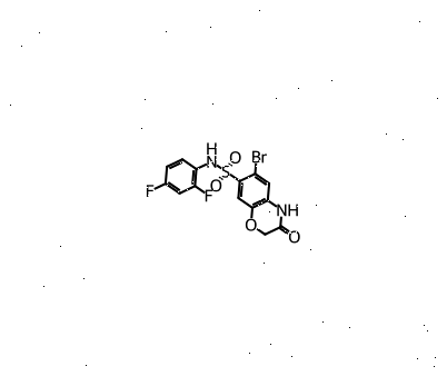 O=C1COc2cc(S(=O)(=O)Nc3ccc(F)cc3F)c(Br)cc2N1